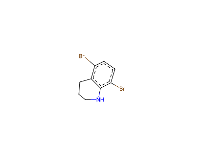 Brc1ccc(Br)c2c1CCCN2